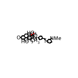 CNc1cccc(SCc2ccc([C@@H]3O[C@@H]4CC5[C@@H]6CCC7=CC(=O)C=C[C@]7(C)[C@@]6(F)[C@@H](O)C[C@]5(C)[C@]4(C(=O)CO)O3)cc2)c1